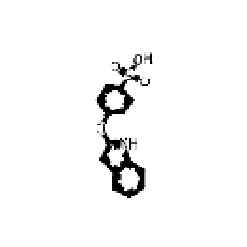 O=S(=O)(O)c1ccc(Oc2cc3ccccc3[nH]2)cc1